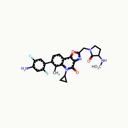 Cc1c(-c2cc(F)c(N)cc2F)ccc2c3oc(CN4CCC(NC(=O)O)C4=O)nc3c(=O)n(C3CC3)c12